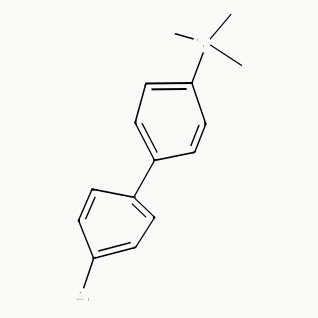 CC(=O)c1ccc(-c2ccc([Si](C)(C)C)cc2)cc1